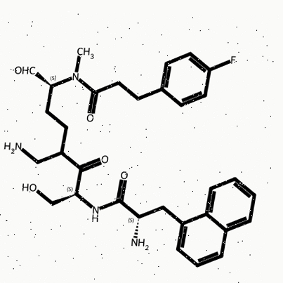 CN(C(=O)CCc1ccc(F)cc1)[C@H]([C]=O)CCC(CN)C(=O)[C@H](CO)NC(=O)[C@@H](N)Cc1cccc2ccccc12